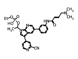 CCOP(=O)(O)OC(C)n1cc(-c2ccnc(C#N)c2)c2cc(-c3cccc(NC(=O)C=CCN(C)C)c3)cnc21